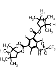 CN1C(C)(C)CC(OC(=O)c2c(I)c(NS(=O)(=O)C(F)(F)F)c(I)c(C(=O)OC3CC(C)(C)N(C)C3(C)C)c2I)C1(C)C